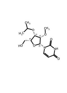 CO[C@H]1[C@@H](OC(C)C)[C@@H](CO)O[C@H]1n1ccc(=O)[nH]c1=O